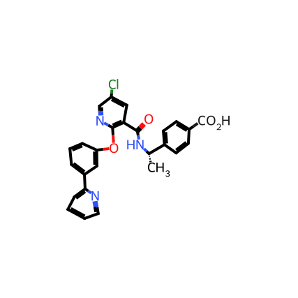 C[C@H](NC(=O)c1cc(Cl)cnc1Oc1cccc(-c2ccccn2)c1)c1ccc(C(=O)O)cc1